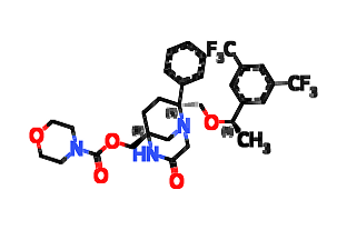 C[C@@H](OC[C@@]1(c2ccccc2)CC[C@]2(COC(=O)N3CCOCC3)CN1CC(=O)N2)c1cc(C(F)(F)F)cc(C(F)(F)F)c1